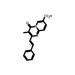 Cc1c(/C=C/c2ccccc2)nc2ccc(C(=O)O)cn2c1=O